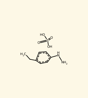 CCc1ccc(NN)cc1.O=S(=O)(O)O